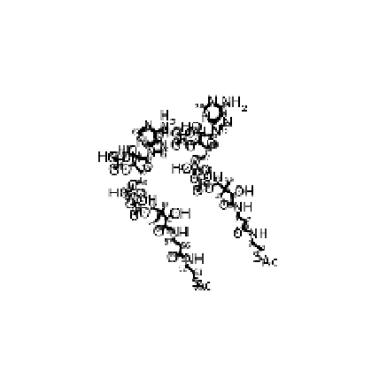 CC(=O)SCCNC(=O)CCNC(=O)[C@H](O)C(C)(C)COP(=O)(O)OP(=O)(O)OC[C@H]1O[C@@H](n2cnc3c(N)ncnc32)[C@H](O)[C@@H]1OP(=O)(O)O.CC(=O)SCCNC(=O)CCNC(=O)[C@H](O)C(C)(C)COP(=O)(O)OP(=O)(O)OC[C@H]1O[C@@H](n2cnc3c(N)ncnc32)[C@H](O)[C@@H]1OP(=O)(O)O